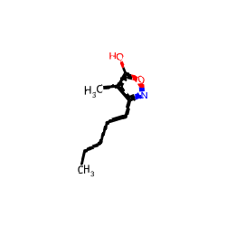 CCCCCc1noc(O)c1C